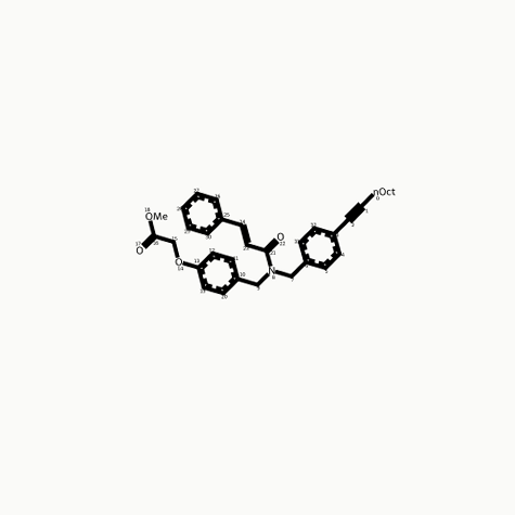 CCCCCCCCC#Cc1ccc(CN(Cc2ccc(OCC(=O)OC)cc2)C(=O)/C=C/c2ccccc2)cc1